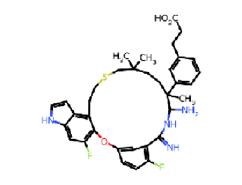 CC1(C)CCC(C)(c2cccc(CCC(=O)O)c2)C(N)NC(=N)c2cc(ccc2F)Oc2c(F)cc3[nH]ccc3c2CCSC1